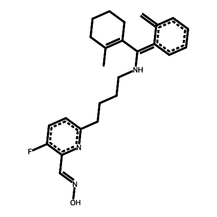 C=c1cccc/c1=C(\NCCCCc1ccc(F)c(/C=N/O)n1)C1=C(C)CCCC1